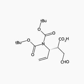 C=C[C@@H](C(CC=O)C(=O)O)N(C(=O)OC(C)(C)C)C(=O)OC(C)(C)C